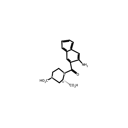 Nc1cc2ccccc2cc1C(=O)N1CCN(C(=O)O)C[C@H]1C(=O)O